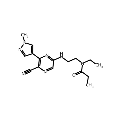 CCC(=O)N(CC)CCNc1cnc(C#N)c(-c2cnn(C)c2)n1